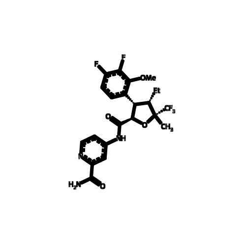 CC[C@H]1[C@@H](c2ccc(F)c(F)c2OC)[C@H](C(=O)Nc2ccnc(C(N)=O)c2)O[C@@]1(C)C(F)(F)F